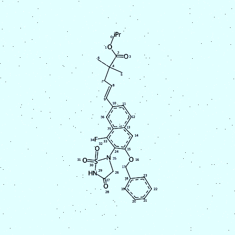 CC(C)OC(=O)C(C)(C)CC=Cc1ccc2cc(OCc3ccccc3)c(N3CC(=O)NS3(=O)=O)c(F)c2c1